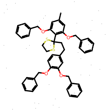 Cc1cc(OCc2ccccc2)c(C2(CCc3ccc(OCc4ccccc4)c(OCc4ccccc4)c3)SCCS2)c(OCc2ccccc2)c1